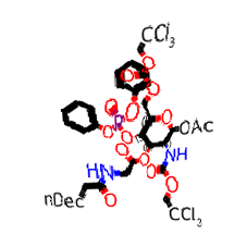 CCCCCCCCCCCC(=O)NCC(=O)O[C@H]1[C@H](OP(=O)(Oc2ccccc2)Oc2ccccc2)[C@@H](COC(=O)OCC(Cl)(Cl)Cl)OC(OC(C)=O)[C@@H]1NC(=O)OCC(Cl)(Cl)Cl